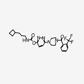 O=C(NCCCC1CCC1)Oc1ccc(N2CCN(C(=O)c3ccccc3C(F)(F)F)CC2)nn1